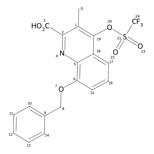 Cc1c(C(=O)O)nc2c(OCc3ccccc3)cccc2c1OS(=O)(=O)C(F)(F)F